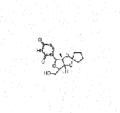 C[C@@]12OC3(CCCC3)O[C@@H]1[C@@](C)(CO)O[C@H]2n1ccc(=O)[nH]c1=O